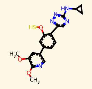 COc1cc(-c2ccc(-c3cnc(NC4CC4)nn3)c(OS)c2)cnc1OC